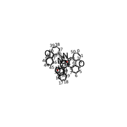 C1=CC2Oc3cccc(-c4cccc5oc6ccccc6c45)c3C2C(c2nc(-c3ccccc3)nc(C3CC=Cc4oc5ccccc5c43)n2)=C1